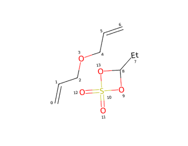 C=CCOCC=C.CCC1OS(=O)(=O)O1